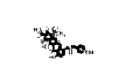 CN(C)[C@@H]1C(O)=C(C(N)=O)C(=O)[C@@]2(O)C(O)=C3C(=O)c4c(O)ccc(CNCc5cc[n+](O)cc5)c4C[C@H]3C[C@@H]12